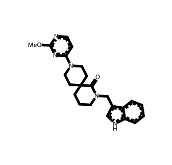 COc1nccc(N2CCC3(CCCN(Cc4c[nH]c5ccccc45)C3=O)CC2)n1